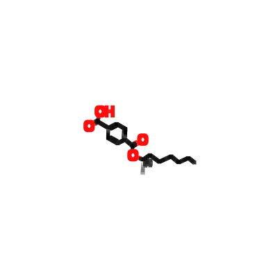 CCCCCC[C@H](C)OC(=O)c1ccc(C(=O)O)cc1